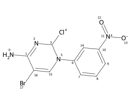 NC1=NC(Cl)N(c2cccc([N+](=O)[O-])c2)C=C1Br